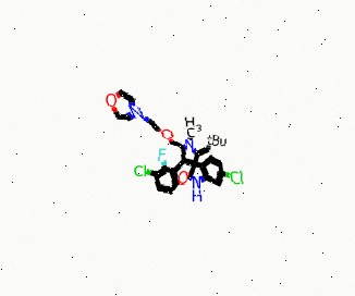 CN1C(COCCN2CCOCC2)C(c2cccc(Cl)c2F)C2(C(=O)Nc3cc(Cl)ccc32)C1CC(C)(C)C